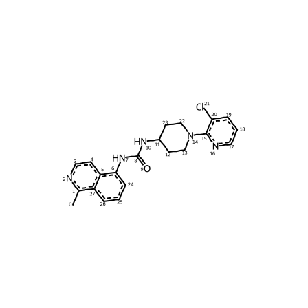 Cc1nccc2c(NC(=O)NC3CCN(c4ncccc4Cl)CC3)cccc12